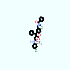 CN(Cc1cc2c(-c3ccccc3)c(CC(=O)Nc3ccc(Cl)cc3C(F)(F)F)c(=O)oc2cc1Cl)C(=O)c1ccccc1